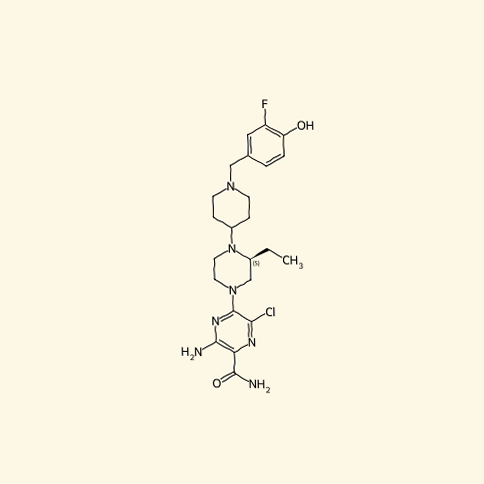 CC[C@H]1CN(c2nc(N)c(C(N)=O)nc2Cl)CCN1C1CCN(Cc2ccc(O)c(F)c2)CC1